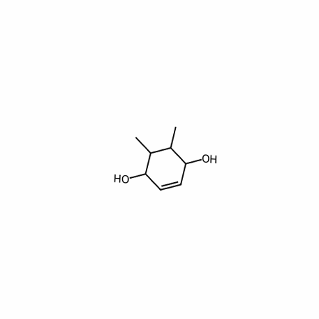 CC1C(O)C=CC(O)C1C